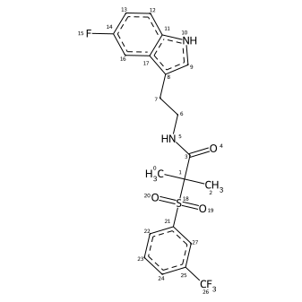 CC(C)(C(=O)NCCc1c[nH]c2ccc(F)cc12)S(=O)(=O)c1cccc(C(F)(F)F)c1